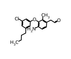 CCCCc1cc(Cl)cc(Oc2c(N)ccc(CC=O)c2C)c1